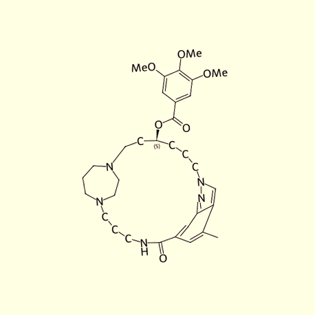 COc1cc(C(=O)O[C@H]2CCCn3cc4c(C)cc(cc4n3)C(=O)NCCCN3CCCN(CC2)CC3)cc(OC)c1OC